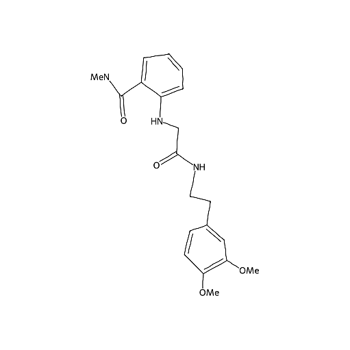 CNC(=O)c1ccccc1NCC(=O)NCCc1ccc(OC)c(OC)c1